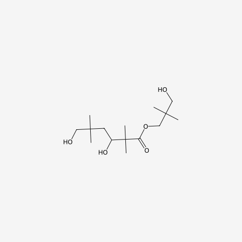 CC(C)(CO)COC(=O)C(C)(C)C(O)CC(C)(C)CO